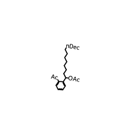 CCCCCCCCCCCCCCCCCC(OC(C)=O)c1ccccc1C(C)=O